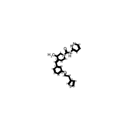 CC1CN(C(=O)Nc2cccnn2)CC/C1=C\c1cccc(OCCc2ccsc2)c1